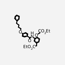 CCOC(=O)COc1ccc(CC(=O)OCC)cc1NC(=O)c1ccc(OCCCCc2ccccc2)cc1